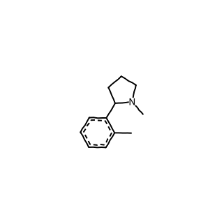 Cc1ccccc1C1CCCN1C